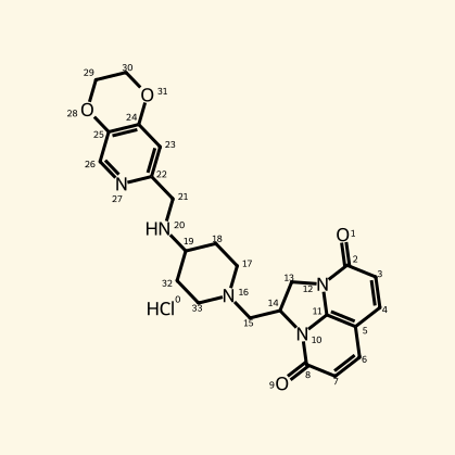 Cl.O=c1ccc2ccc(=O)n3c2n1CC3CN1CCC(NCc2cc3c(cn2)OCCO3)CC1